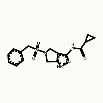 O=C(Nc1n[nH]c2c1CN(S(=O)(=O)Cc1ccccc1)C2)C1CC1